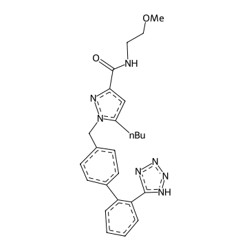 CCCCc1cc(C(=O)NCCOC)nn1Cc1ccc(-c2ccccc2-c2nnn[nH]2)cc1